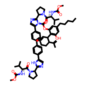 C=C(C)C1CCC(C)=CC1c1c(O)cc(CCCCC)cc1OC(=O)n1c(-c2ccc(-c3ccc(-c4cnc(C5CCCN5C(=O)[C@@H](NC(=O)OC)C(C)C)[nH]4)cc3)cc2)cnc1C1CCCN1C(=O)[C@@H](NC(=O)OC)C(C)C